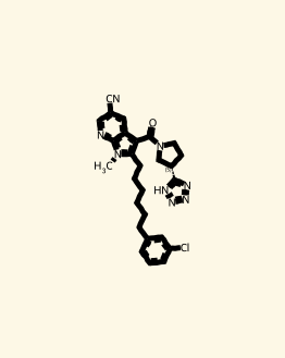 Cn1c(CCCCCCc2cccc(Cl)c2)c(C(=O)N2CC[C@H](c3nnn[nH]3)C2)c2cc(C#N)cnc21